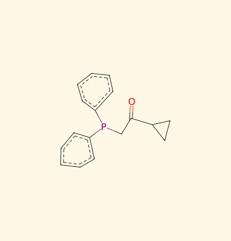 O=C(CP(c1ccccc1)c1ccccc1)C1CC1